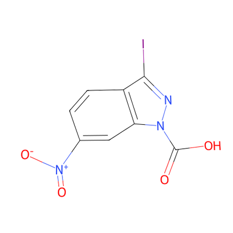 O=C(O)n1nc(I)c2ccc([N+](=O)[O-])cc21